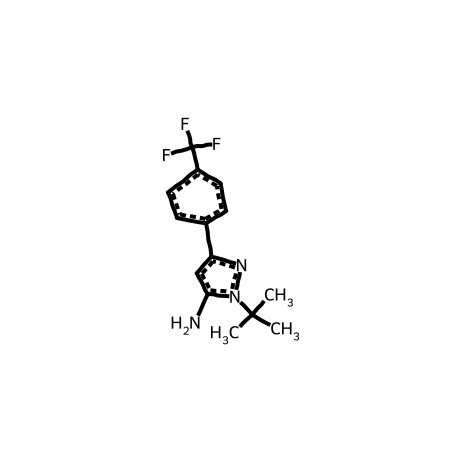 CC(C)(C)n1nc(-c2ccc(C(F)(F)F)cc2)cc1N